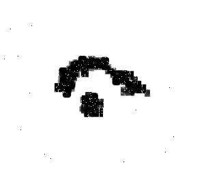 N=C(N)NCCC[C@H](N)C(=O)NCCCCCC(=O)N1Cc2ccc(NC(=O)c3ccc(CN(C(=O)c4ccc5c(c4)OCC(=O)N5)C4CC4)cc3)cc2C1.O=C(O)C(F)(F)F.O=C(O)C(F)(F)F